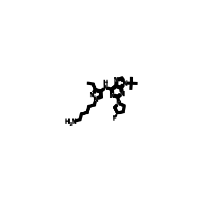 CCc1nn(CCCCCN)cc1Nc1nc(N2CC[C@H](F)C2)nc2c1ncn2C(C)(C)C